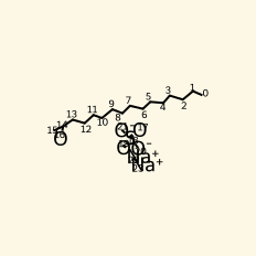 CCCCCCCCCCCCCCC1CO1.O=S(=O)([O-])[O-].[Na+].[Na+]